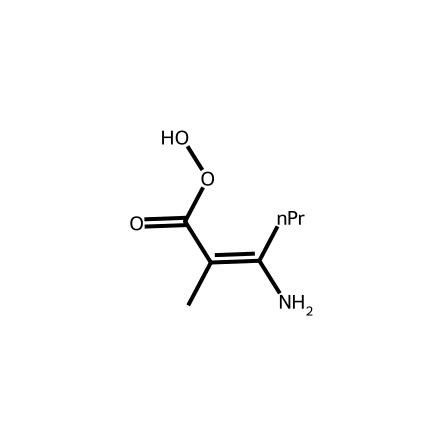 CCCC(N)=C(C)C(=O)OO